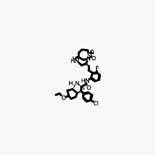 CCOC1CCC([C@H](c2ccc(Cl)cc2)[C@H](N)C(=O)Nc2cccc(F)c2CC[C@H]2CN[C@@H]3CCCS(=O)(=O)N2C3)CC1